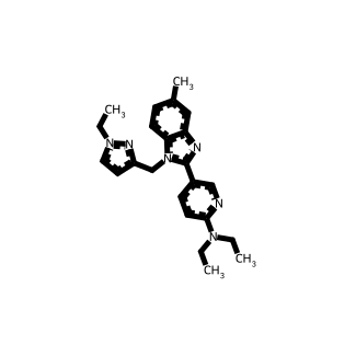 CCN(CC)c1ccc(-c2nc3cc(C)ccc3n2Cc2ccn(CC)n2)cn1